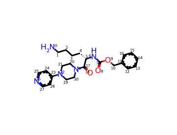 NCCCC[C@H](NC(=O)OCc1ccccc1)C(=O)N1CCN(c2ccncc2)CC1